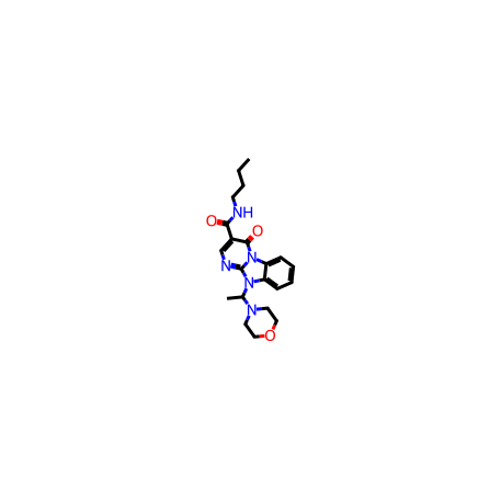 CCCCNC(=O)c1cnc2n(C(C)N3CCOCC3)c3ccccc3n2c1=O